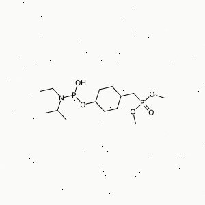 CCN(C(C)C)P(O)OC1CCC(CP(=O)(OC)OC)CC1